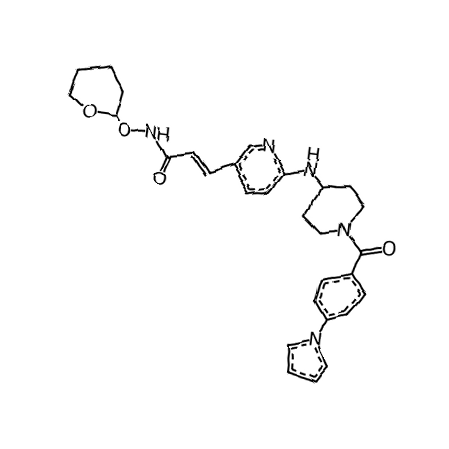 O=C(C=Cc1ccc(NC2CCN(C(=O)c3ccc(-n4cccc4)cc3)CC2)nc1)NOC1CCCCO1